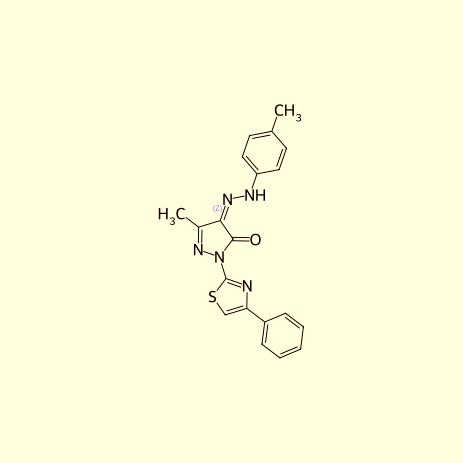 CC1=NN(c2nc(-c3ccccc3)cs2)C(=O)/C1=N\Nc1ccc(C)cc1